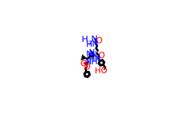 NC(=O)NCCC[C@@H](C(=O)Nc1ccc(CO)cc1)n1cc([C@H](NC(=O)OCc2ccccc2)C2CC2)nn1